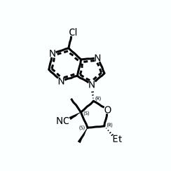 CC[C@H]1O[C@@H](n2cnc3c(Cl)ncnc32)[C@](C)(C#N)[C@@H]1C